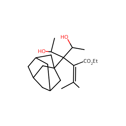 CCOC(=O)C(=C(C)C)C(C(C)O)(C(C)O)C12CC3CC(CC(C3)C1)C2